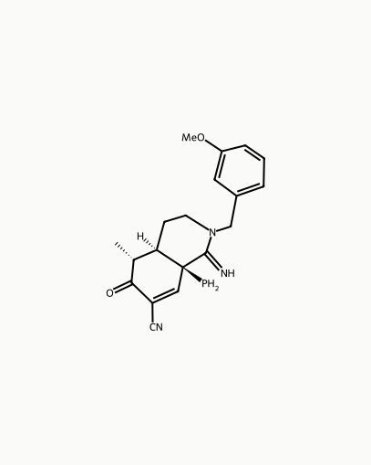 COc1cccc(CN2CC[C@@H]3[C@@H](C)C(=O)C(C#N)=C[C@@]3(P)C2=N)c1